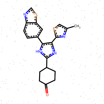 Cc1csc(-c2nc(C3CCC(=O)CC3)[nH]c2-c2ccc3ncsc3c2)n1